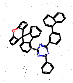 c1ccc(-c2nc(-c3cccc(-c4cccc5ccccc45)c3)nc(-c3cccc4c3-c3ccccc3C43c4ccccc4Oc4ccccc43)n2)cc1